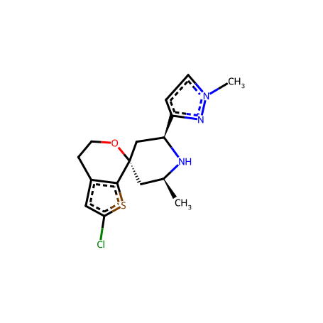 C[C@H]1C[C@@]2(C[C@@H](c3ccn(C)n3)N1)OCCc1cc(Cl)sc12